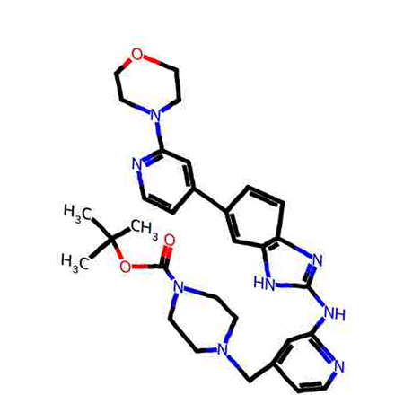 CC(C)(C)OC(=O)N1CCN(Cc2ccnc(Nc3nc4ccc(-c5ccnc(N6CCOCC6)c5)cc4[nH]3)c2)CC1